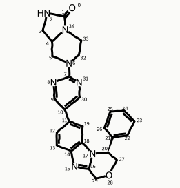 O=C1NCC2CN(c3ncc(-c4ccc5nc6n(c5c4)[C@@H](c4ccccc4)COC6)cn3)CCN12